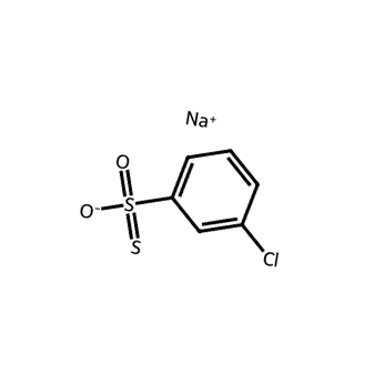 O=S([O-])(=S)c1cccc(Cl)c1.[Na+]